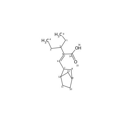 CCC(CC)C(=CC1CC2CCC1C2)C(=O)O